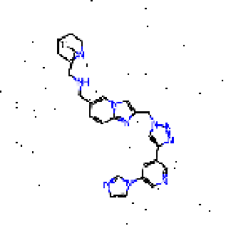 c1cn(-c2cncc(-c3cn(Cc4cn5cc(CNCC6CC7CCN6CC7)ccc5n4)nn3)c2)cn1